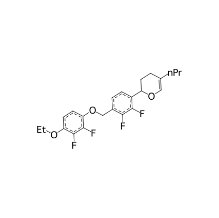 CCCC1=COC(c2ccc(COc3ccc(OCC)c(F)c3F)c(F)c2F)CC1